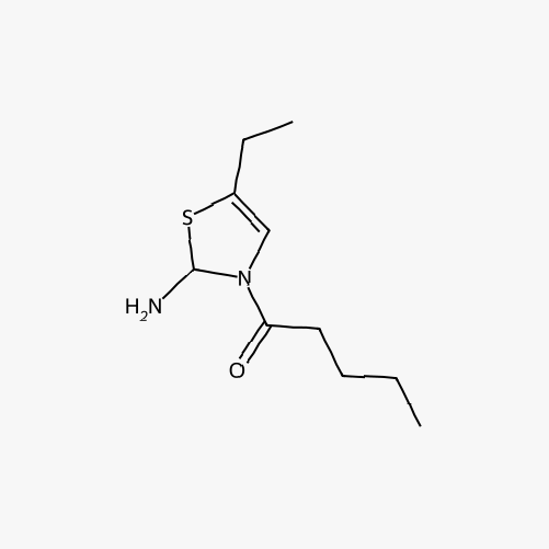 CCCCC(=O)N1C=C(CC)SC1N